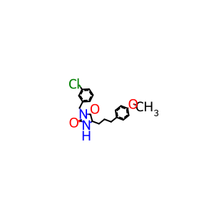 COc1ccc(CCCC2NC(=O)N(Cc3cccc(Cl)c3)C2=O)cc1